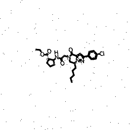 CCCCCC1CN(CC(=O)NC2CCC[C@@H]2C(=O)OCC)C(=O)c2cc(-c3ccc(Cl)cc3)nn21